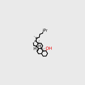 CC(C)CCC[C@@H](C)[C@H]1CC[C@H]2C3=CCC4CCCC(O)[C@]4(C)[C@H]3CC[C@]12C